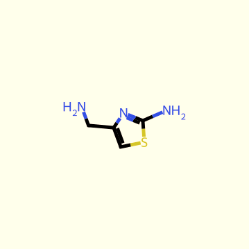 NCc1csc(N)n1